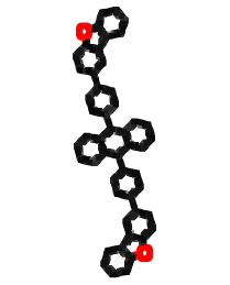 c1ccc2c(c1)oc1ccc(-c3ccc(-c4c5ccccc5c(-c5ccc(-c6ccc7oc8ccccc8c7c6)cc5)c5ccccc45)cc3)cc12